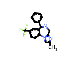 Cc1cn2c(n1)CN=C(c1ccccc1)c1cc(C(F)(F)F)ccc1-2